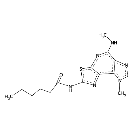 CCCCCC(=O)Nc1nc2c(nc(NC)c3ncn(C)c32)s1